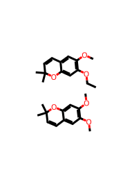 CCOc1cc2c(cc1OC)C=CC(C)(C)O2.COc1cc2c(cc1OC)OC(C)(C)C=C2